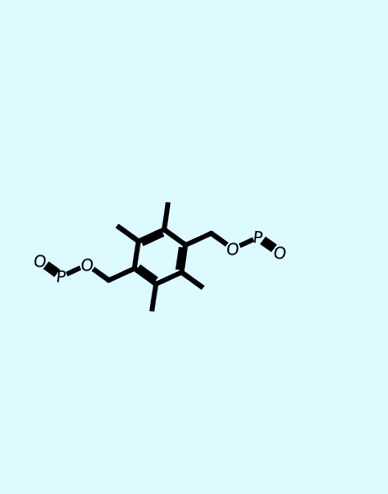 Cc1c(C)c(COP=O)c(C)c(C)c1COP=O